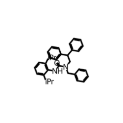 CC(C)c1cccc(C(C)C)c1NC(=O)N(Cc1ccccc1)CC(c1ccccc1)c1ccccc1